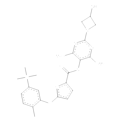 COc1nc(N2CC(N)C2)nc(OC)c1NC(=O)c1ccc(Oc2cc([Si](C)(C)C)ccc2C)o1